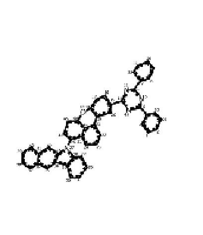 c1ccc(-c2nc(-c3ccccc3)nc(-c3ccc4c(c3)-c3cccc5c(-n6c7ccccc7c7cc8ccccc8cc76)ccc(c35)O4)n2)cc1